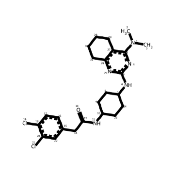 CN(C)c1nc(NC2CCC(NC(=O)Cc3ccc(Cl)c(Cl)c3)CC2)nc2c1CCCC2